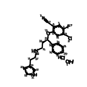 Cl.Cl.N#Cc1cc(F)c(Cl)cc1O[C@H](CCNCCc1c[nH]cn1)c1ccccc1